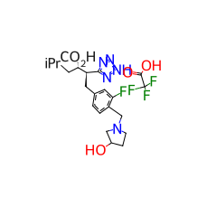 CC(C)C[C@H](C(=O)O)[C@H](Cc1ccc(CN2CCC(O)C2)c(F)c1)c1nn[nH]n1.O=C(O)C(F)(F)F